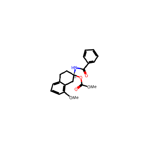 COC(=O)O[C@@]1(NC(=O)c2ccccc2)CCc2cccc(OC)c2C1